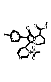 COC(=O)C1CCCn2c(C3C=CN=CN3S(C)(=O)=O)c(-c3ccc(F)cc3)c(=O)n21